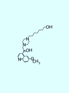 COc1ccc2nccc([C@@H](O)CN3CCN(CCCCCCCO)CC3)c2c1